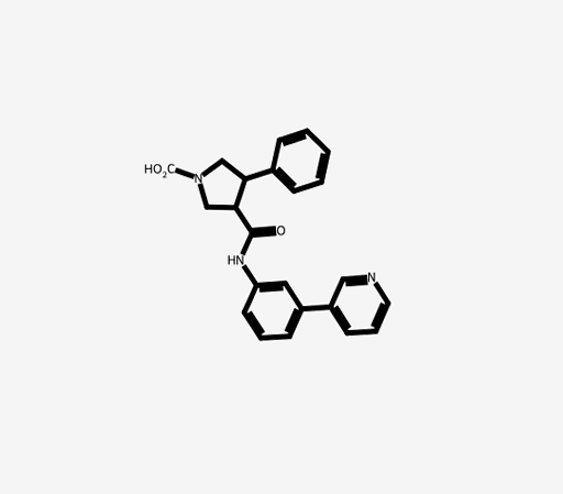 O=C(Nc1cccc(-c2cccnc2)c1)C1CN(C(=O)O)CC1c1ccccc1